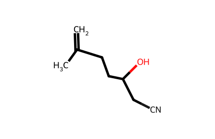 C=C(C)CCC(O)CC#N